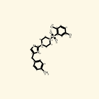 Cc1ccc(Cc2csc(N3CCN(S(=O)(=O)c4cc(Cl)ccc4Cl)CC3)n2)cc1